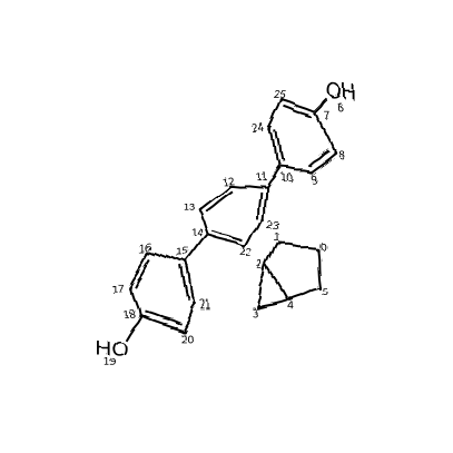 C1CC2CC2C1.Oc1ccc(-c2ccc(-c3ccc(O)cc3)cc2)cc1